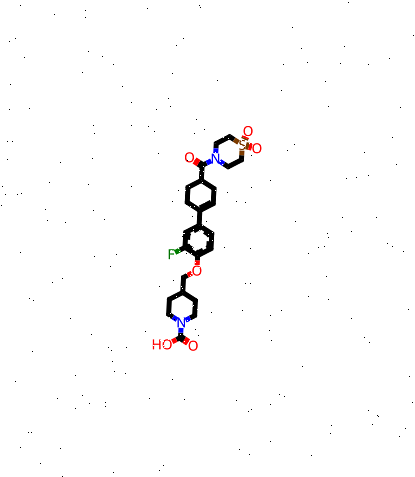 O=C(O)N1CCC(COc2ccc(C3=CCC(C(=O)N4CCS(=O)(=O)CC4)CC3)cc2F)CC1